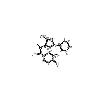 CN(C(=O)c1ccc(=O)n(C)n1)c1sc(-c2cccnc2)nc1Cl